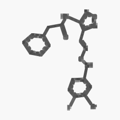 O=C(Cc1ccccc1)Nc1nonc1/C=N/ONc1ccc(F)c(Br)c1